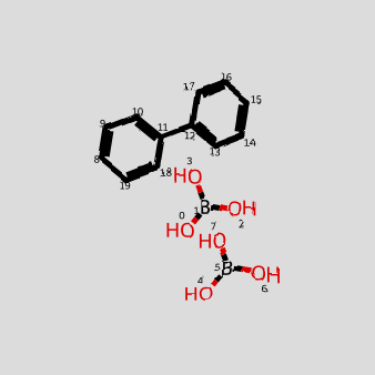 OB(O)O.OB(O)O.c1ccc(-c2ccccc2)cc1